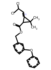 CC1(C)/C(=C/C(Cl)Cl)C1C(=O)OCc1cccc(Oc2ccccc2)c1